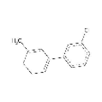 CC1=CC(c2cccc(Cl)c2)=CCC1